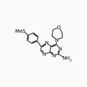 CSc1ccc(-c2cnc3nc(N)nc(N4CCOCC4)c3n2)cc1